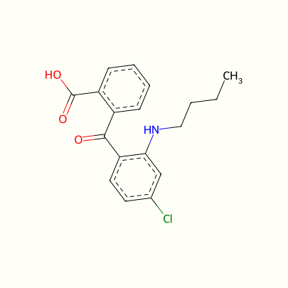 CCCCNc1cc(Cl)ccc1C(=O)c1ccccc1C(=O)O